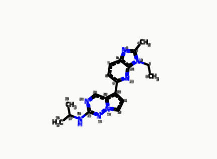 CCn1c(C)nc2ccc(-c3ccn4nc(NC(C)C)ncc34)nc21